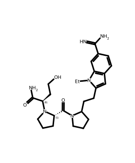 CCn1c(CCC2CCCN2C(=O)[C@@H]2CCCN2[C@H](CCO)C(N)=O)cc2ccc(C(=N)N)cc21